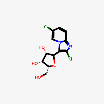 OC[C@H]1OC(c2c(Cl)nc3ccc(Cl)cn23)[C@@H](O)[C@H]1O